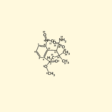 COC(=O)c1cccc([N+](=O)[O-])c1C(C(C)(C)C)S(N)(=O)=O